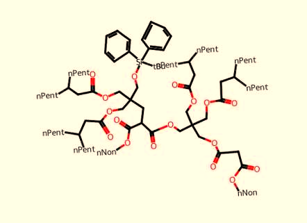 CCCCCCCCCOC(=O)CC(=O)OCC(COC(=O)CC(CCCCC)CCCCC)(COC(=O)CC(CCCCC)CCCCC)COC(=O)C(CC(COC(=O)CC(CCCCC)CCCCC)(COC(=O)CC(CCCCC)CCCCC)CO[Si](c1ccccc1)(c1ccccc1)C(C)(C)C)C(=O)OCCCCCCCCC